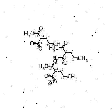 CCCC(C(C)=O)C(=O)[O-].CCCC(C(C)=O)C(=O)[O-].CCCC(C(C)=O)C(=O)[O-].[Zr+3]